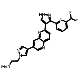 CNCCn1cc(-c2cnc3ccc(-c4c[nH]nc4-c4cccc(C(F)F)n4)nc3c2)cn1